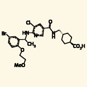 COCCOc1ccc(Br)cc1C(C)Nc1ncc(C(=O)NC[C@H]2CC[C@H](C(=O)O)CC2)cc1Cl